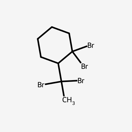 CC(Br)(Br)C1CCCCC1(Br)Br